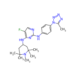 Cc1nnnn1-c1ccc(Nc2ncc(F)c(NC3CC(C)(C)N(C)C(C)(C)C3)n2)cc1